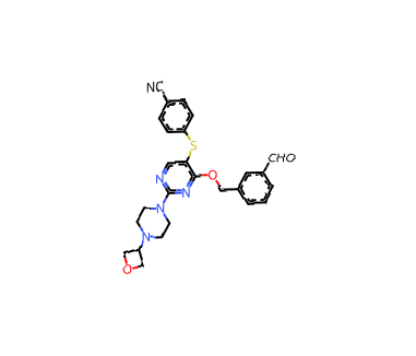 N#Cc1ccc(Sc2cnc(N3CCN(C4COC4)CC3)nc2OCc2cccc(C=O)c2)cc1